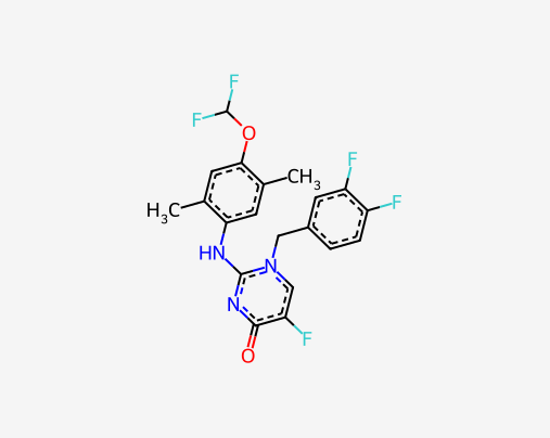 Cc1cc(OC(F)F)c(C)cc1Nc1nc(=O)c(F)cn1Cc1ccc(F)c(F)c1